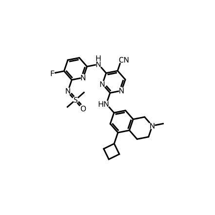 CN1CCc2c(cc(Nc3ncc(C#N)c(Nc4ccc(F)c(N=S(C)(C)=O)n4)n3)cc2C2CCC2)C1